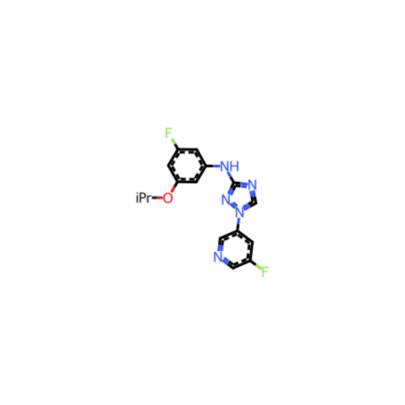 CC(C)Oc1cc(F)cc(Nc2ncn(-c3cncc(F)c3)n2)c1